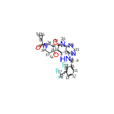 COC1(c2cc3c(N[C@H](C)c4cccc(C(F)F)c4F)ncnc3n(C)c2=O)CCN(C(=O)C2CC2)CC1